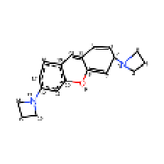 C1=CC(N2CCC2)C=C2Oc3cc(N4CCC4)ccc3C=C12